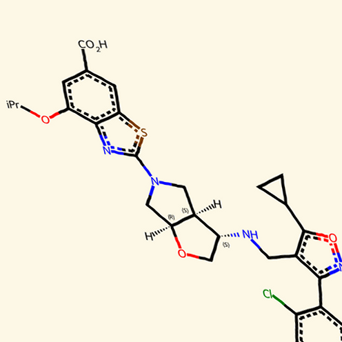 CC(C)Oc1cc(C(=O)O)cc2sc(N3C[C@@H]4[C@H](C3)OC[C@H]4NCc3c(-c4c(Cl)cccc4Cl)noc3C3CC3)nc12